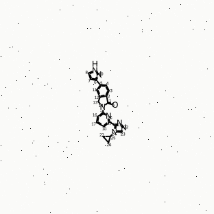 O=C1c2ccc(-c3cc[nH]n3)cc2CN1c1cccc(-c2nncn2C2CC2)n1